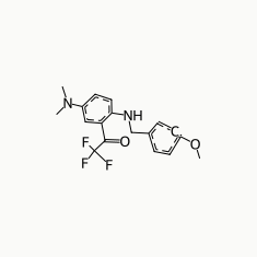 COc1ccc(CNc2ccc(N(C)C)cc2C(=O)C(F)(F)F)cc1